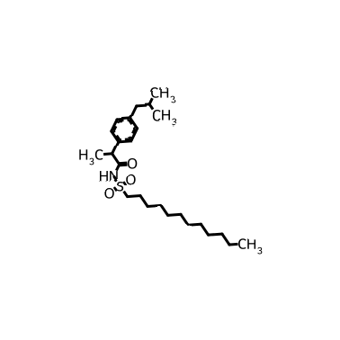 CCCCCCCCCCCCS(=O)(=O)NC(=O)C(C)c1ccc(CC(C)C)cc1